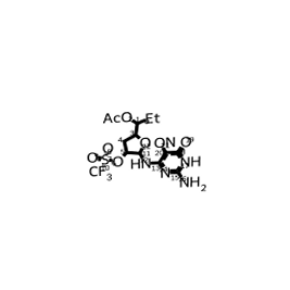 CCC(OC(C)=O)C1CC(OS(=O)(=O)C(F)(F)F)C(Nc2nc(N)[nH]c(=O)c2N=O)O1